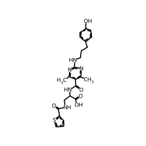 Cc1nc(NCCCc2ccc(O)cc2)nc(C)c1C(=O)NC(CNC(=O)c1cccs1)C(=O)O